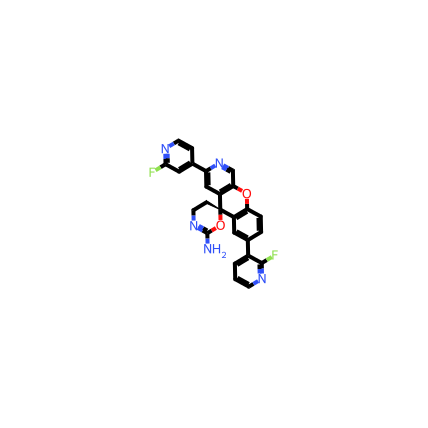 NC1=NCC[C@]2(O1)c1cc(-c3cccnc3F)ccc1Oc1cnc(-c3ccnc(F)c3)cc12